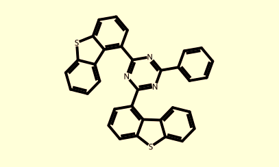 c1ccc(-c2nc(-c3cccc4sc5ccccc5c34)nc(-c3cccc4sc5ccccc5c34)n2)cc1